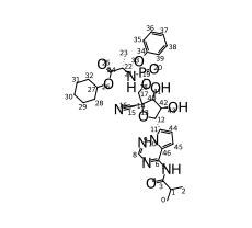 CC(C)C(=O)Nc1ncnn2c([C@@H]3O[C@](C#N)(CO[P@@](=O)(N[C@@H](C)C(=O)OC4CCCCC4)Oc4ccccc4)[C@@H](O)[C@H]3O)ccc12